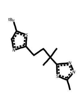 Cc1nnc(C(C)(C)CCc2ncc(C(C)(C)C)s2)s1